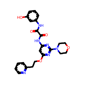 O=C(Nc1cccc(O)c1)C(=O)Nc1cc(OCCc2ccccn2)nc(N2CCOCC2)n1